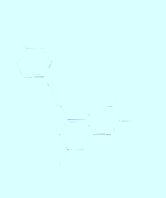 O=C(O)C1=Cc2cc(Cl)cc(C#Cc3ccc(F)cc3)c2OC1C(F)(F)F